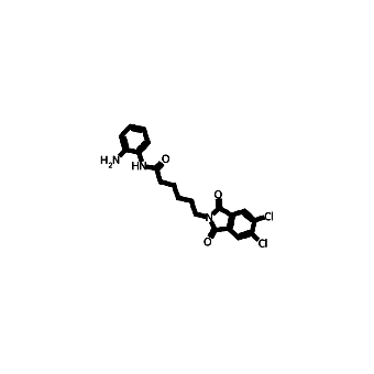 Nc1ccccc1NC(=O)CCCCCN1C(=O)c2cc(Cl)c(Cl)cc2C1=O